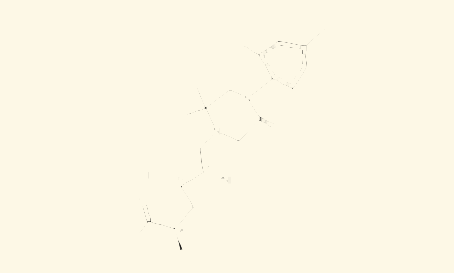 Cc1cc(F)ccc1N1CC(C)(C)N(C[C@H](N)[C@@H](O)C[C@@H](C)C(=O)O)CC1=O